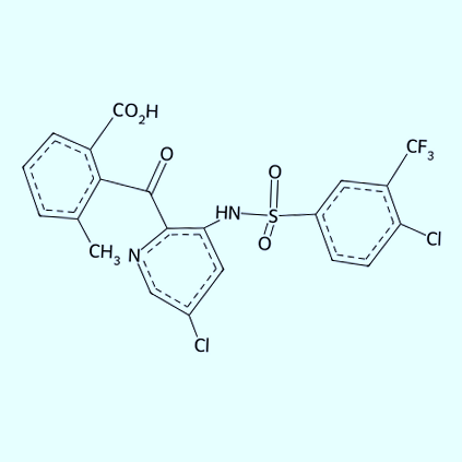 Cc1cccc(C(=O)O)c1C(=O)c1ncc(Cl)cc1NS(=O)(=O)c1ccc(Cl)c(C(F)(F)F)c1